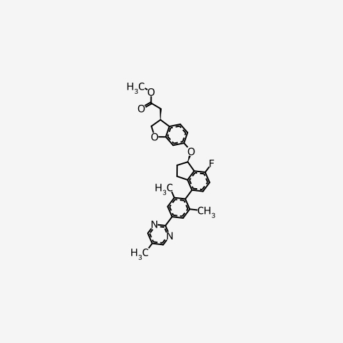 COC(=O)C[C@@H]1COc2cc(O[C@@H]3CCc4c(-c5c(C)cc(-c6ncc(C)cn6)cc5C)ccc(F)c43)ccc21